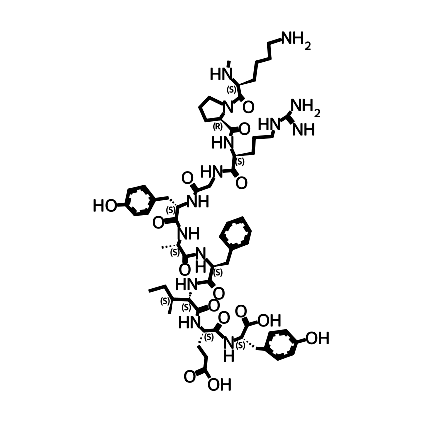 CC[C@H](C)[C@H](NC(=O)[C@H](Cc1ccccc1)NC(=O)[C@H](C)NC(=O)[C@H](Cc1ccc(O)cc1)NC(=O)CNC(=O)[C@H](CCCNC(=N)N)NC(=O)[C@H]1CCCN1C(=O)[C@H](CCCCN)NC)C(=O)N[C@@H](CCC(=O)O)C(=O)N[C@@H](Cc1ccc(O)cc1)C(=O)O